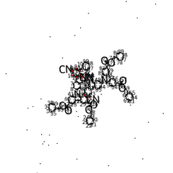 [C-]#[N+]c1cccc(-c2ccc(-n3c4ccc(C(=O)OCc5ccccc5)cc4c4cc(C(=O)OCc5ccccc5)ccc43)cc2-c2nc(-c3cc(-n4c5ccc(C(=O)OCc6ccccc6)cc5c5cc(C(=O)OCc6ccccc6)ccc54)ccc3-c3cccc(C#N)c3)nc(-c3ccccc3-c3ccccc3C#N)n2)c1